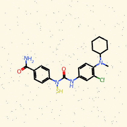 CN(c1ccc(NC(=O)N(S)c2ccc(C(N)=O)cc2)cc1Cl)C1CCCCC1